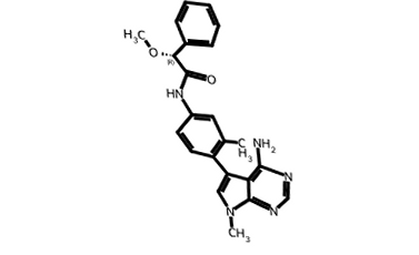 CO[C@@H](C(=O)Nc1ccc(-c2cn(C)c3ncnc(N)c23)c(C)c1)c1ccccc1